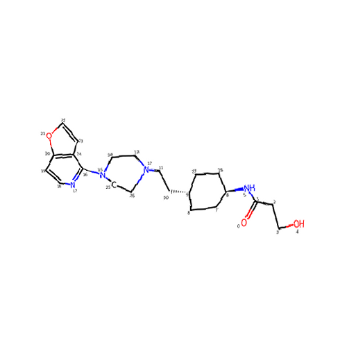 O=C(CCO)N[C@H]1CC[C@H](CCN2CCN(c3nccc4occc34)CC2)CC1